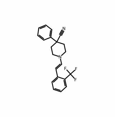 N#CC1(c2ccccc2)CCN(C=Cc2ccccc2C(F)(F)F)CC1